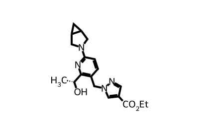 CCOC(=O)c1cnn(Cc2ccc(N3CC4CC4C3)nc2[C@@H](C)O)c1